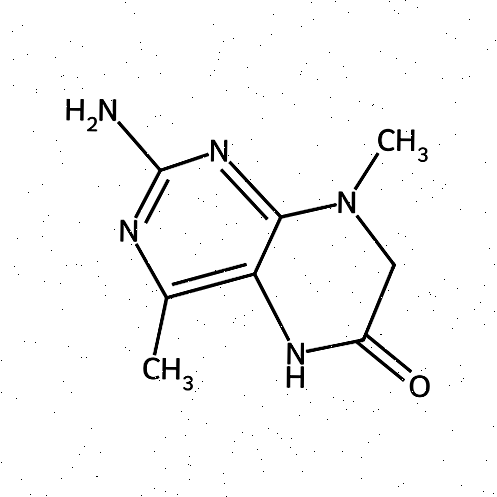 Cc1nc(N)nc2c1NC(=O)CN2C